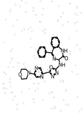 O=C1Nc2ccccc2C(c2ccccc2)=NC1Nc1nnc(-c2cnc(N3CCOCC3)cn2)o1